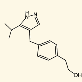 CC(C)c1[nH]ncc1Cc1ccc(CCO)cc1